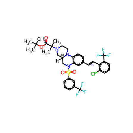 CC(C)(C)OC(=O)C(C)(C)N1CCN2c3ccc(/C=C/c4c(Cl)cccc4C(F)(F)F)cc3N(S(=O)(=O)c3cccc(C(F)(F)F)c3)C[C@@H]2C1